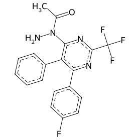 CC(=O)N(N)c1nc(C(F)(F)F)nc(-c2ccc(F)cc2)c1-c1ccccc1